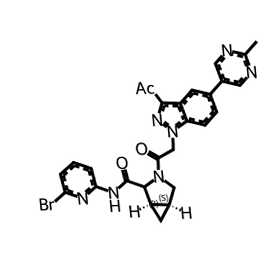 CC(=O)c1nn(CC(=O)N2C[C@H]3C[C@H]3C2C(=O)Nc2cccc(Br)n2)c2ccc(-c3cnc(C)nc3)cc12